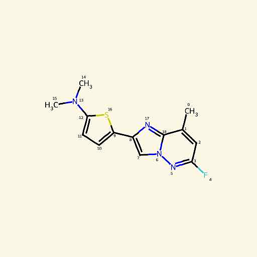 Cc1cc(F)nn2cc(-c3ccc(N(C)C)s3)nc12